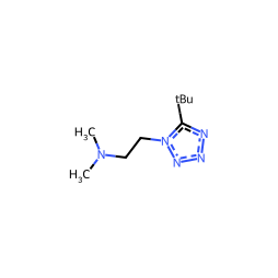 CN(C)CCn1nnnc1C(C)(C)C